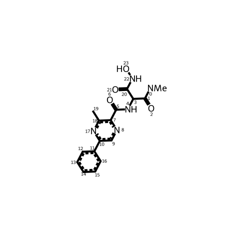 CNC(=O)C(NC(=O)c1ncc(-c2ccccc2)nc1C)C(=O)NO